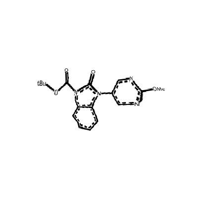 COc1ncc(-n2c(=O)n(C(=O)OC(C)(C)C)c3ccccc32)cn1